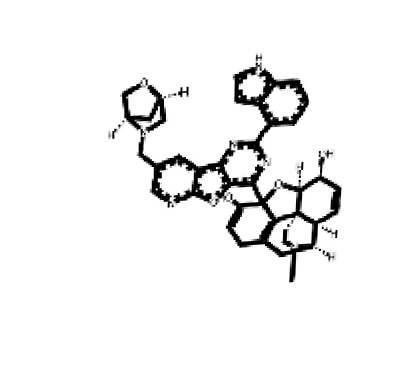 CN1CC[C@]23C4=C5CC=C(O)C4(c4nc(-c6cccc7[nH]ccc67)nc6c4oc4ncc(CN7C[C@H]8C[C@@H]7CO8)cc46)O[C@H]2[C@@H](O)C=C[C@H]3[C@H]1C5